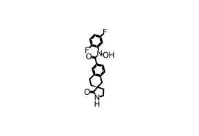 O=C(c1ccc2c(c1)CC[C@]1(CCNC1=O)C2)N(O)c1cc(F)ccc1F